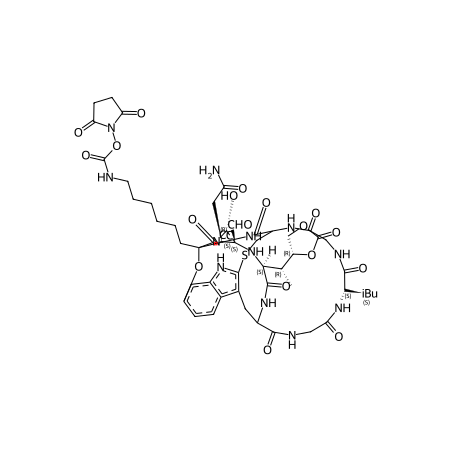 CC[C@H](C)[C@@H]1NC(=O)CNC(=O)C2Cc3c4[nH]c5cc(ccc35)OC(CCCCCCNC(=O)ON3C(=O)CCC3=O)(C(=O)[C@H](CC(N)=O)NC(=O)C(CS4)NC(=O)CNC1=O)N1C[C@H](O)C[C@]1(C=O)N[C@@H]([C@@H](C)[C@@H]1COC(=O)O1)C(=O)N2